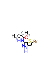 CC(C)C(=O)Nc1n[nH]c2cc(Br)sc12